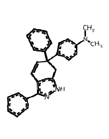 CN(C)c1ccc(C2(c3ccccc3)C=Cc3c(-c4ccccc4)n[nH]c3C2)cc1